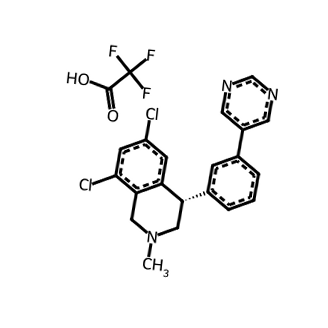 CN1Cc2c(Cl)cc(Cl)cc2[C@H](c2cccc(-c3cncnc3)c2)C1.O=C(O)C(F)(F)F